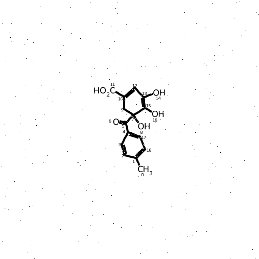 Cc1ccc(C(=O)C2(O)CC(C(=O)O)=CC(O)=C2O)cc1